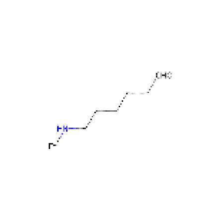 CCNCCCCCC=O